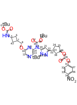 CC(C)(C)OC(=O)NC1CC(COc2cncc(N(C(=O)OC(C)(C)C)c3cc([C@H]4CC[C@@H](OC(=O)Oc5ccc([N+](=O)[O-])cc5)C4)nn3C(C)(C)C)n2)C1